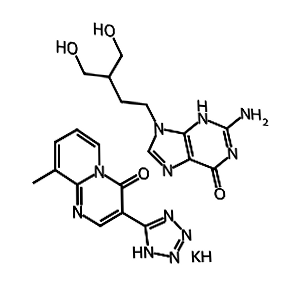 Cc1cccn2c(=O)c(-c3nnn[nH]3)cnc12.Nc1nc(=O)c2ncn(CCC(CO)CO)c2[nH]1.[KH]